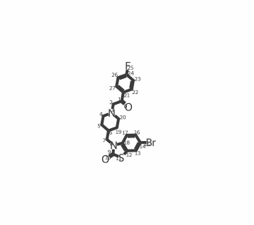 O=C(CN1CCC(Cn2c(=O)sc3cc(Br)ccc32)CC1)c1ccc(F)cc1